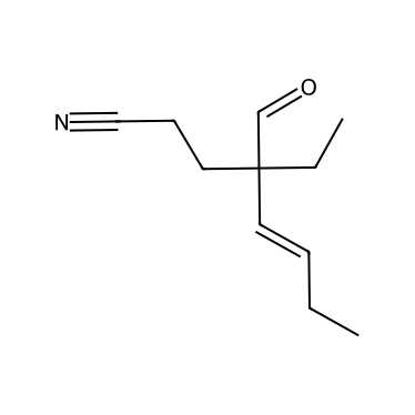 CCC=CC(C=O)(CC)CCC#N